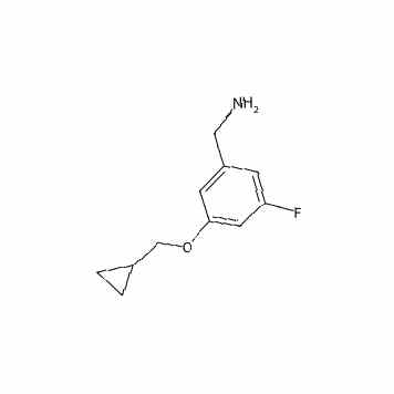 NCc1cc(F)cc(OCC2CC2)c1